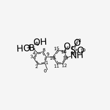 Cc1ccc(B(O)O)cc1-c1ccc2c(c1)OS(=O)(=O)N2